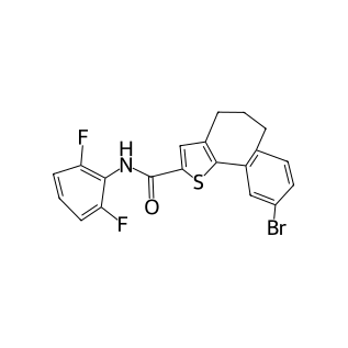 O=C(Nc1c(F)cccc1F)c1cc2c(s1)-c1cc(Br)ccc1CCC2